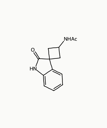 CC(=O)NC1CC2(C1)C(=O)Nc1ccccc12